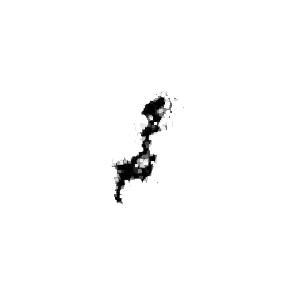 Cc1cc(Nc2ncc(Cl)c(Nc3ccccc3S(=O)(=O)C(C)C)n2)c(OC(C)C)cc1C1CCN(C(=O)CCCC(=O)NC(C(=O)N2C[C@H](OC(=O)CCCCN=[N+]=[N-])C[C@H]2C(=O)NC(C)c2ccc(-c3scnc3C)cc2)C(C)(C)C)CC1